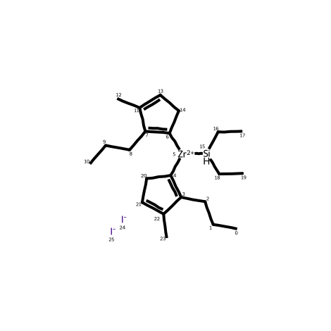 CCCC1=[C]([Zr+2]([C]2=C(CCC)C(C)=CC2)[SiH](CC)CC)CC=C1C.[I-].[I-]